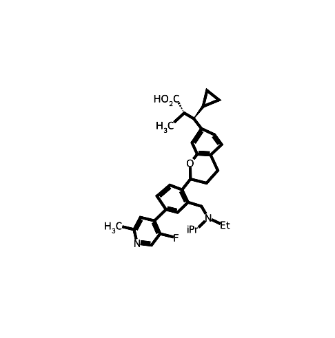 CCN(Cc1cc(-c2cc(C)ncc2F)ccc1C1CCc2ccc([C@H](C3CC3)[C@H](C)C(=O)O)cc2O1)C(C)C